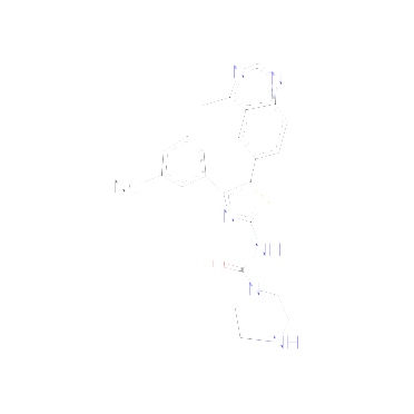 Cc1ncnc2ccc(-c3sc(NC(=O)N4CCNCC4)nc3-c3cccc(C#N)c3)cc12